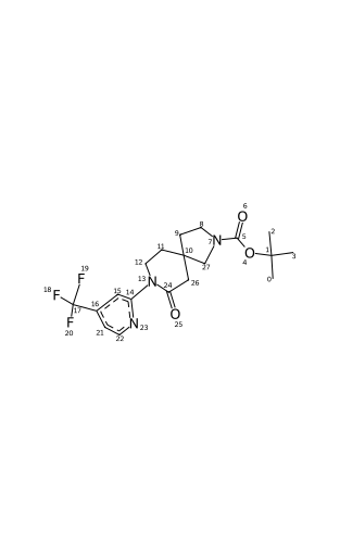 CC(C)(C)OC(=O)N1CCC2(CCN(c3cc(C(F)(F)F)ccn3)C(=O)C2)C1